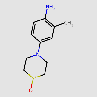 Cc1cc(N2CC[S+]([O-])CC2)ccc1N